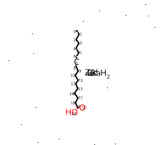 CCCCCCCCCCCCCCCCCC(=O)O.[BaH2].[Cd].[Zn]